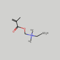 C=C(C)C(=O)OC[15N+]([13CH3])([13CH3])CS(=O)(=O)O